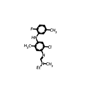 CCN(C)C=Nc1cc(C)c(Nc2cc(C)ccc2F)cc1Cl